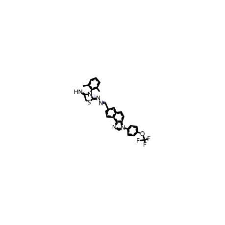 Cc1cccc(C)c1N1C(=N)CS/C1=N\N=C\c1ccc2c(ccc3c2ncn3-c2ccc(OC(F)(F)F)cc2)c1